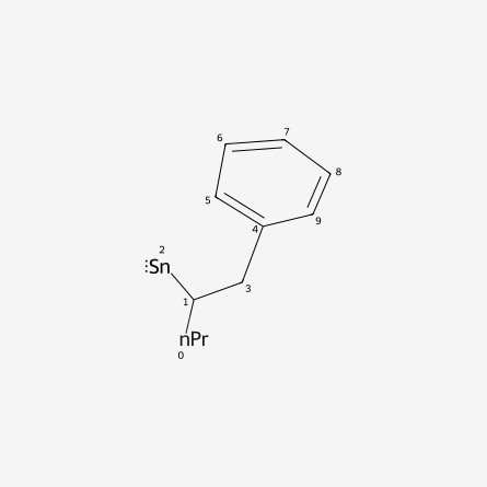 CCC[CH]([Sn])Cc1ccccc1